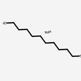 O=S(=O)(O)CCCCCCCCCCO.[NaH]